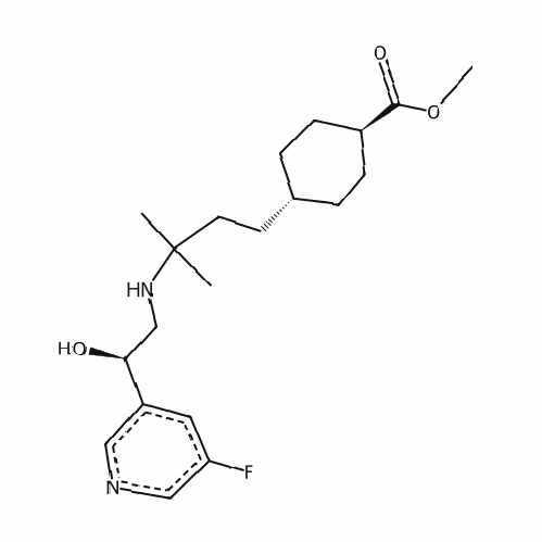 COC(=O)[C@H]1CC[C@H](CCC(C)(C)NC[C@H](O)c2cncc(F)c2)CC1